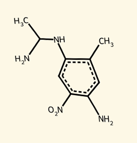 Cc1cc(N)c([N+](=O)[O-])cc1NC(C)N